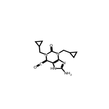 Nc1nc2c([nH]1)C(=C=O)N(CC1CC1)C(=O)N2CC1CC1